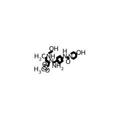 C=C(/C=C(CS(C)(=O)=O)\N=C(/N)c1ccc(NC(=O)N2CCC(O)CC2)cc1)NCCO